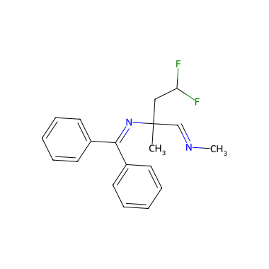 C/N=C/C(C)(CC(F)F)N=C(c1ccccc1)c1ccccc1